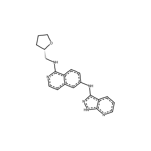 c1cnc2[nH]nc(Nc3ccc4c(NC[C@@H]5CCCO5)nccc4c3)c2c1